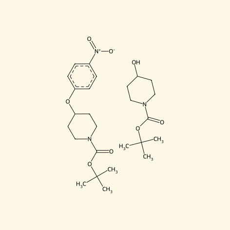 CC(C)(C)OC(=O)N1CCC(O)CC1.CC(C)(C)OC(=O)N1CCC(Oc2ccc([N+](=O)[O-])cc2)CC1